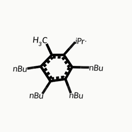 CCCCc1c(C)c([C](C)C)c(CCCC)c(CCCC)c1CCCC